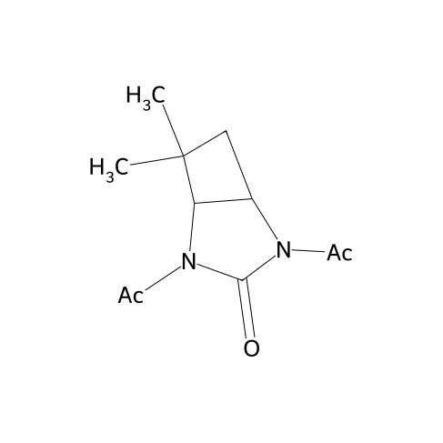 CC(=O)N1C(=O)N(C(C)=O)C2C1CC2(C)C